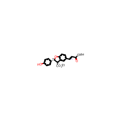 CCOC(=O)[C@@H]1c2cc(/C=C/C(=O)OC)ccc2O[C@H]1c1ccc(O)cc1